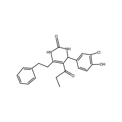 CCC(=O)C1=C(CCc2ccccc2)NC(=O)NC1c1ccc(O)c(Cl)c1